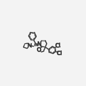 CCC1(c2ccc(Cl)c(Cl)c2)CCCN([C@H](CN2CCCC2)c2ccccc2)C1=O